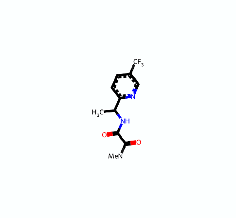 CNC(=O)C(=O)NC(C)c1ccc(C(F)(F)F)cn1